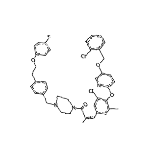 CC(=Cc1cc(C)c(Oc2ccc(OCc3ccccc3Cl)cn2)c(Cl)c1)C(=O)N1CCN(Cc2ccc(CCOc3ccc(F)cc3)cc2)CC1